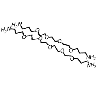 NCCCOCCOCCOCCOCCCN.NCCCOCCOCCOCCOCCOCCCN